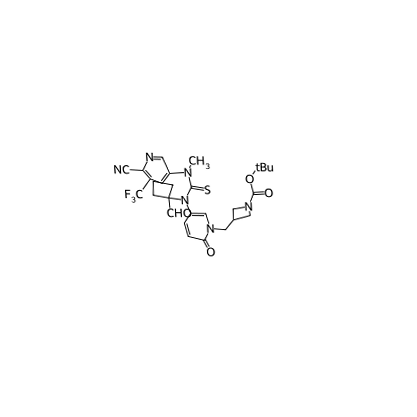 CN(C(=S)N(c1ccc(=O)n(CC2CN(C(=O)OC(C)(C)C)C2)c1)C1(C=O)CCC1)c1cnc(C#N)c(C(F)(F)F)c1